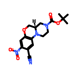 CC(C)(C)OC(=O)N1CCN2c3cc(C#N)c([N+](=O)[O-])cc3OC[C@H]2C1